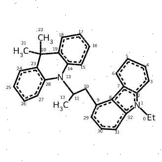 CCn1c2ccccc2c2c(CC(C)N3c4ccccc4C(C)(C)c4ccccc43)cccc21